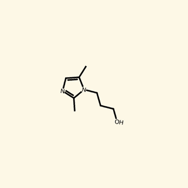 Cc1cnc(C)n1CCCO